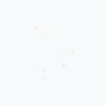 CCN(CC)C1CNC(C(=O)O)C1CCCB(O)O